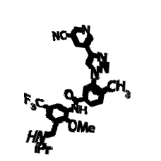 COc1c(CNC(C)C)cc(C(F)(F)F)cc1NC(=O)c1ccc(C)c(-n2cc(-c3cncc(C#N)c3)nn2)c1